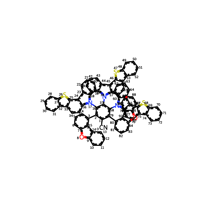 N#Cc1c(-c2cccc3oc4ccccc4c23)c(-n2c3ccccc3c3c4sc5ccccc5c4ccc32)c(-n2c3ccccc3c3c4sc5ccccc5c4ccc32)c(-n2c3ccccc3c3c4sc5ccccc5c4ccc32)c1-c1cccc2oc3ccccc3c12